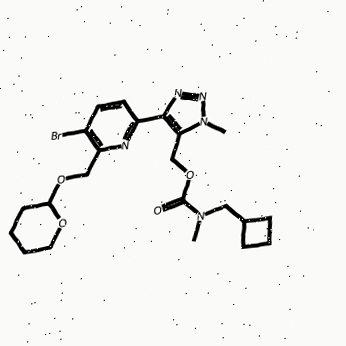 CN(CC1CCC1)C(=O)OCc1c(-c2ccc(Br)c(COC3CCCCO3)n2)nnn1C